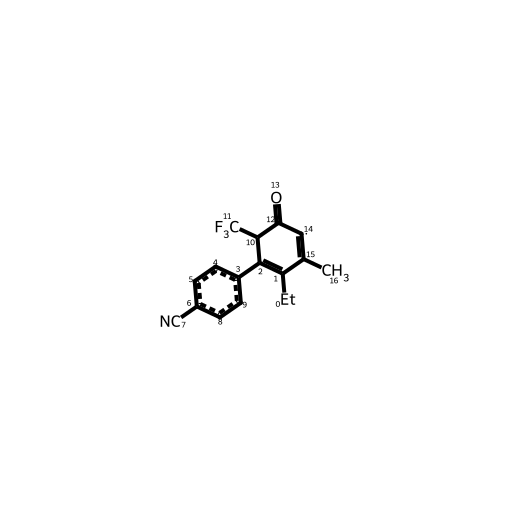 CCC1=C(c2ccc(C#N)cc2)C(C(F)(F)F)C(=O)[C]=C1C